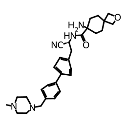 CN1CCN(Cc2ccc(-c3ccc(C[C@@H](C#N)NC(=O)C4(N)CCC5(CC4)COC5)cc3)cc2)CC1